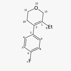 CCC1=C(c2ccc(F)cc2)CCOC1